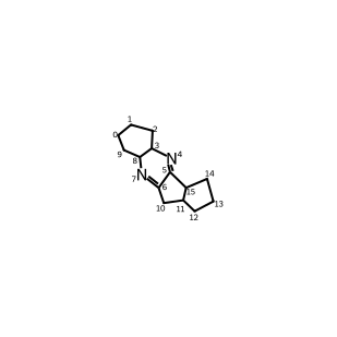 C1CCC2N=C3C(=NC2C1)CC1CCCC31